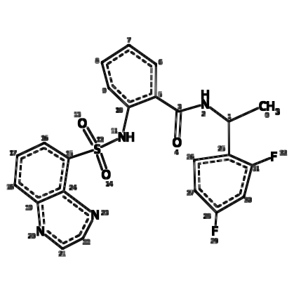 CC(NC(=O)c1ccccc1NS(=O)(=O)c1cccc2nccnc12)c1ccc(F)cc1F